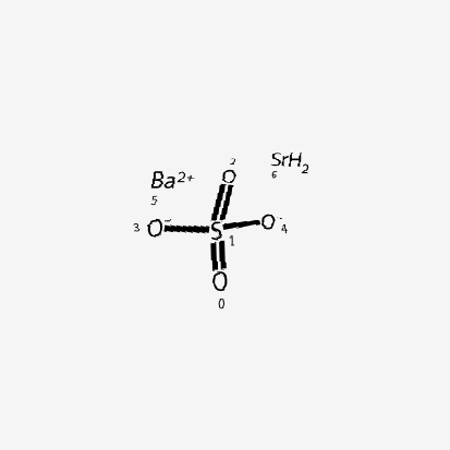 O=S(=O)([O-])[O-].[Ba+2].[SrH2]